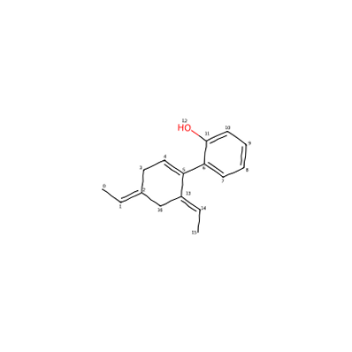 CC=C1CC=C(c2ccccc2O)C(=CC)C1